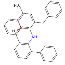 Cc1cc(C)c(Nc2c(-c3ccccc3)cccc2-c2ccccc2)c(Cc2ccccc2)c1